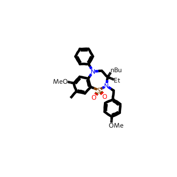 CCCCC1(CC)CN(c2ccccc2)c2cc(OC)c(C)cc2S(=O)(=O)N1Cc1ccc(OC)cc1